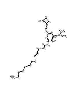 CCCCCCCCCCCCCCc1cc(OC2CCC2)nc(N(C)C)n1